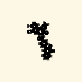 CC(C)(C)CN1Cc2c(cc(Cl)c3[nH]ncc23)C[C@@H](CC(=O)N2CCC(c3cc4ccccc4[nH]c3=O)CC2)C1=O